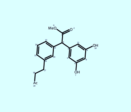 COC(=O)C(c1cc(O)cc(O)c1)c1cccc(CCC(C)=O)c1